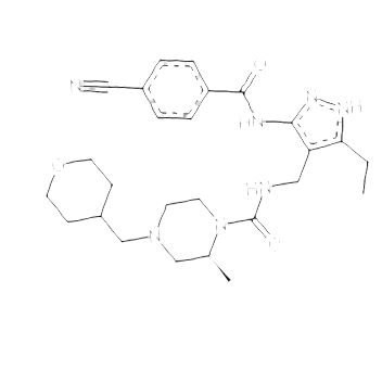 CCc1[nH]nc(NC(=O)c2ccc(C#N)cc2)c1CNC(=O)N1CCN(CC2CCOCC2)C[C@@H]1C